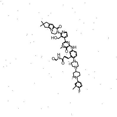 Cc1cc(N2CCC(N3CCN(c4ccc(Nc5nc(-c6ccnc(N7CCn8c(cc9c8CC(C)(C)C9)C7=O)c6CO)cn(C)c5=O)cc4C=CC(=O)NC=O)[C@@H](C)C3)C[C@H]2C)ccc1F